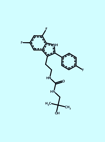 CC(C)(O)CNC(=O)NCCc1c(-c2ccc(F)cc2)[nH]c2c(F)cc(F)cc12